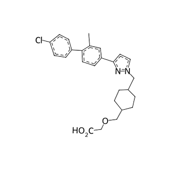 Cc1cc(-c2ccn(CC3CCC(COCC(=O)O)CC3)n2)ccc1-c1ccc(Cl)cc1